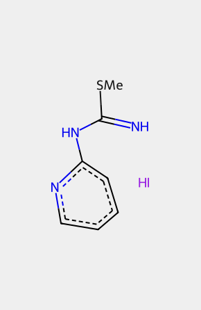 CSC(=N)Nc1ccccn1.I